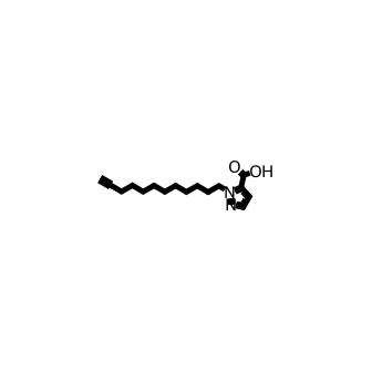 C#CCCCCCCCCCCn1nccc1C(=O)O